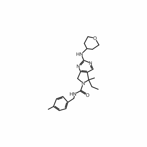 CCC1(C)c2cnc(NC3CCOCC3)nc2CN1C(=O)NCc1ccc(C)cc1